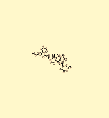 COc1ccccc1C(=O)NCc1ccc(-c2nn(C3CCCC(=O)C3)c3ncnc(N)c23)cc1